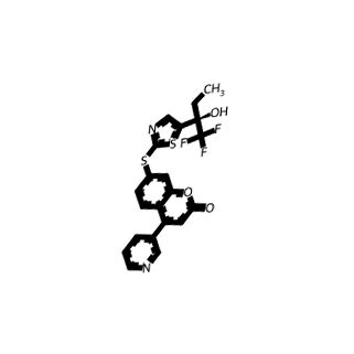 CC[C@@](O)(c1cnc(Sc2ccc3c(-c4cccnc4)cc(=O)oc3c2)s1)C(F)(F)F